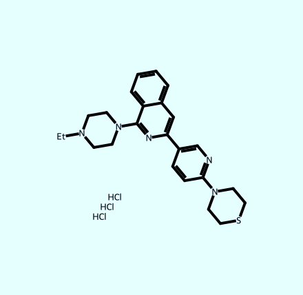 CCN1CCN(c2nc(-c3ccc(N4CCSCC4)nc3)cc3ccccc23)CC1.Cl.Cl.Cl